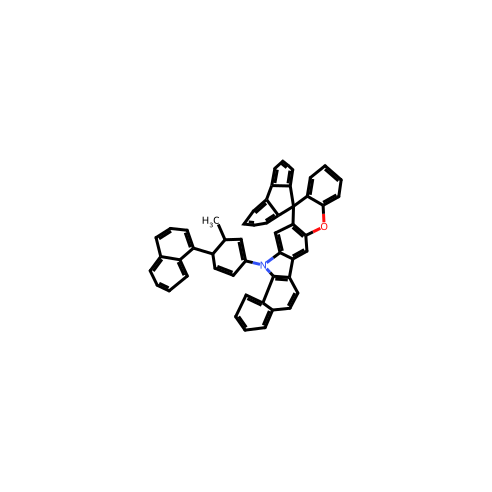 CC1C=C(n2c3cc4c(cc3c3ccc5ccccc5c32)Oc2ccccc2C42c3ccccc3-c3ccccc32)C=CC1c1cccc2ccccc12